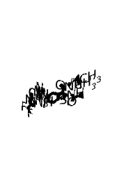 Cn1nc(C(F)F)cc1Nc1nncn1[C@H]1CCc2sc(NC(=O)C3CC3)c(C(=O)NC[C@@H]3CC3(C)C)c2C1